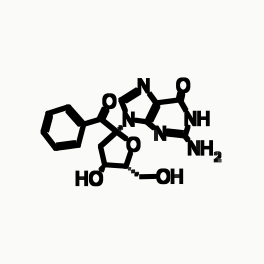 Nc1nc2c(ncn2[C@@]2(C(=O)c3ccccc3)C[C@H](O)[C@@H](CO)O2)c(=O)[nH]1